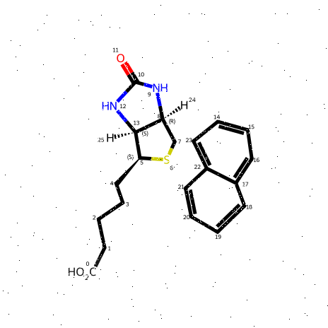 O=C(O)CCCC[C@@H]1SC[C@@H]2NC(=O)N[C@@H]21.c1ccc2ccccc2c1